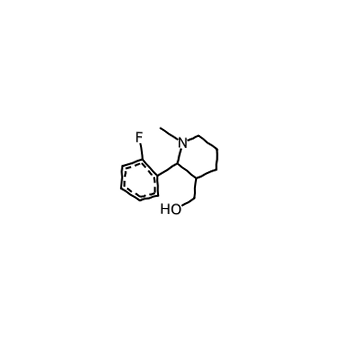 CN1CCCC(CO)C1c1ccccc1F